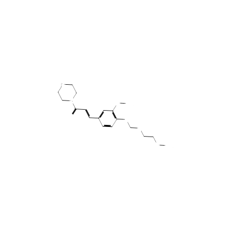 COCCOCOc1ccc(C=CC(=O)N2CCNCC2)cc1OC